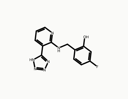 Oc1cc(F)ccc1CNc1ncccc1-c1nnn[nH]1